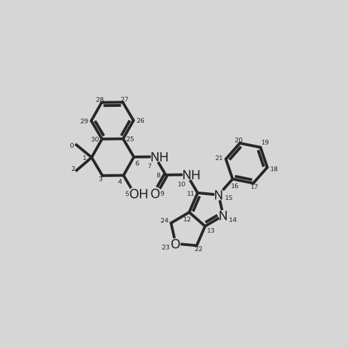 CC1(C)CC(O)C(NC(=O)Nc2c3c(nn2-c2ccccc2)COC3)c2ccccc21